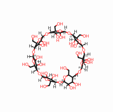 OCC1O[C@@H]2O[C@@H]3C(CO)O[C@H](O[C@@H]4C(CO)O[C@H](O[C@@H]5C(CO)O[C@H](O[C@@H]6C(CO)O[C@H](O[C@@H]7C(CO)O[C@@H](O[C@@H]8C(CO)O[C@H](O[C@H]1C(O)[C@@H]2O)C(O)[C@H]8O)C(O)[C@H]7O)C(O)[C@H]6O)[C@@H](O)C5O)[C@@H](O)C4O)[C@@H](O)C3O